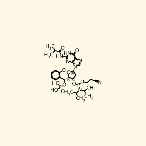 CC(C)C(=O)Nc1nc2c(ncn2[C@H]2C[C@H](OP(OCCC#N)N(C(C)C)C(C)C)[C@H](C(OP(=O)(O)O)c3ccccc3Cl)O2)c(=O)[nH]1